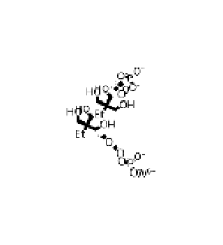 CCC(CO)(CO)CO.CCC(CO)(CO)CO.[C]=O.[C]=O.[C]=O.[C]=O.[O-]P([O-])[O-].[O-]P([O-])[O-].[W+6]